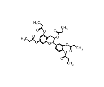 CCC(=O)Oc1cc(OC(=O)CC)c2c(c1)OC(c1ccc(OC(=O)CC)c(OC(=O)CC)c1)C(OC(=O)CC)C2